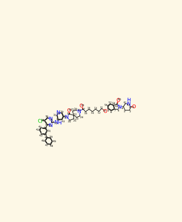 O=C1CCC(N2Cc3cc(OCCCCCCC(=O)N4CCC5(CC4)CCN(c4cncc(Nc6ncc(Cl)c(-c7cccc(-c8ccccc8)c7)n6)c4)C5=O)ccc3C2=O)CN1